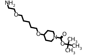 CC(C)(C)OC(=O)N1CCC(OCCCCCOCCN)CC1